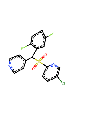 O=S(=O)(c1ccc(Cl)cn1)C(c1ccncc1)c1cc(F)ccc1F